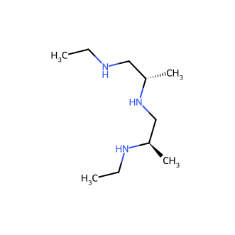 CCNC[C@H](C)NC[C@@H](C)NCC